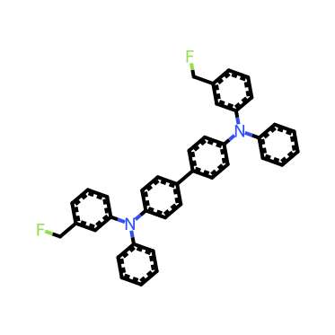 FCc1cccc(N(c2ccccc2)c2ccc(-c3ccc(N(c4ccccc4)c4cccc(CF)c4)cc3)cc2)c1